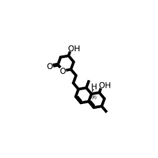 CC1C=C2C=CC(CCC3CC(O)CC(=O)O3)C(C)[C@H]2C(O)C1